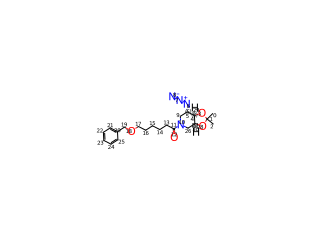 CC1(C)O[C@@H]2[C@@H](N=[N+]=[N-])CN(C(=O)CCCCCOCc3ccccc3)C[C@@H]2O1